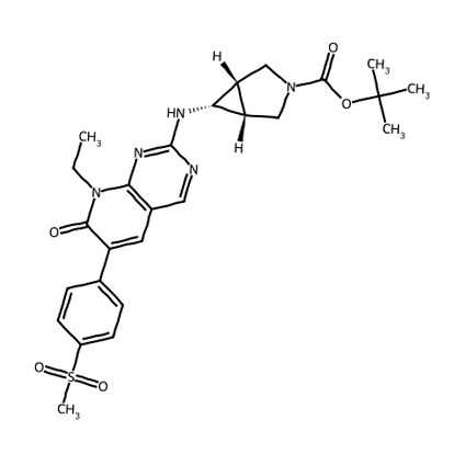 CCn1c(=O)c(-c2ccc(S(C)(=O)=O)cc2)cc2cnc(N[C@@H]3[C@@H]4CN(C(=O)OC(C)(C)C)C[C@@H]43)nc21